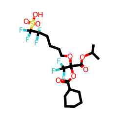 CC(C)OC(=O)C(OCCCCC(F)(F)C(F)(F)S(=O)(=O)O)(OC(=O)C1CCCCC1)C(F)(F)F